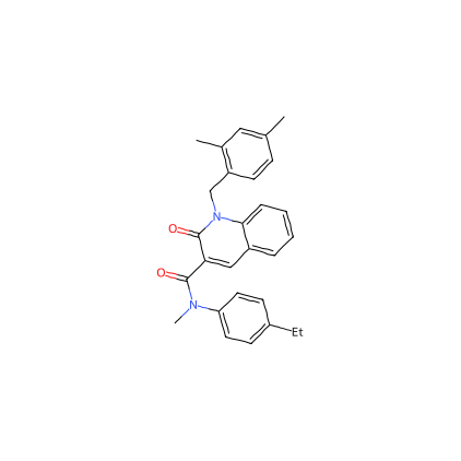 CCc1ccc(N(C)C(=O)c2cc3ccccc3n(Cc3ccc(C)cc3C)c2=O)cc1